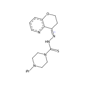 CC(C)N1CCN(C(=S)N/N=C2/CCOc3cccnc32)CC1